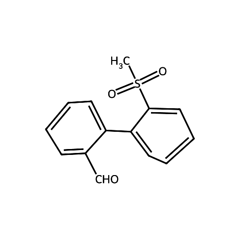 CS(=O)(=O)c1ccccc1-c1ccccc1C=O